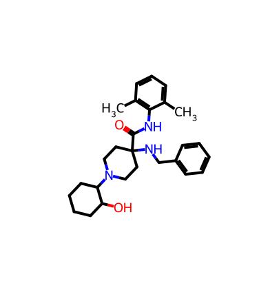 Cc1cccc(C)c1NC(=O)C1(NCc2ccccc2)CCN(C2CCCCC2O)CC1